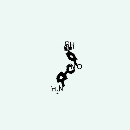 C[Si](C)(O)c1ccc(C(=O)N2CCC(c3cccc(CN)c3)CC2)cc1